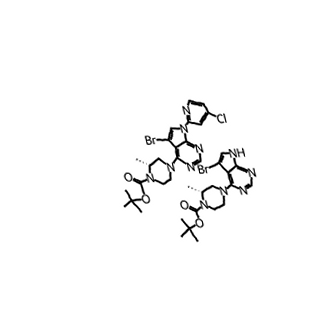 C[C@@H]1CN(c2ncnc3[nH]cc(Br)c23)CCN1C(=O)OC(C)(C)C.C[C@@H]1CN(c2ncnc3c2c(Br)cn3-c2cc(Cl)ccn2)CCN1C(=O)OC(C)(C)C